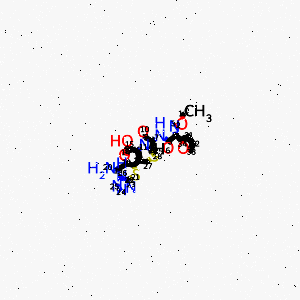 CCON=C(C(=O)NC1C(=O)N2C(C(=O)O)=C(C(CCN)Sc3nnn[nH]3)CS[C@@H]12)c1ccco1